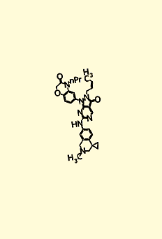 C/C=C\Cn1c(=O)c2cnc(Nc3ccc4c(c3)CN(C)CC43CC3)nc2n1-c1ccc2c(c1)N(CCC)C(=O)CO2